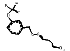 CCCC=NOCc1cccc(OC(F)(F)F)c1